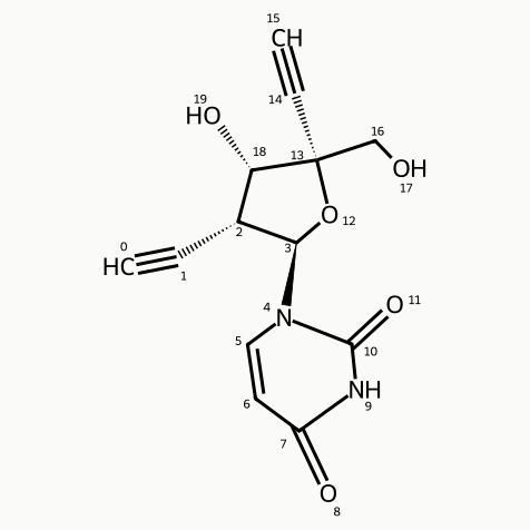 C#C[C@H]1[C@H](n2ccc(=O)[nH]c2=O)O[C@](C#C)(CO)[C@H]1O